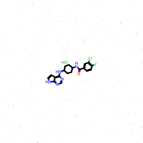 Cl.O=C(NC1CCC(Nc2ncnc3[nH]ccc23)CC1)c1ccc(F)c(Cl)c1